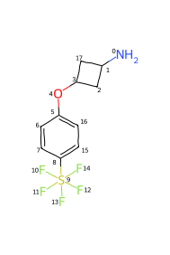 NC1CC(Oc2ccc(S(F)(F)(F)(F)F)cc2)C1